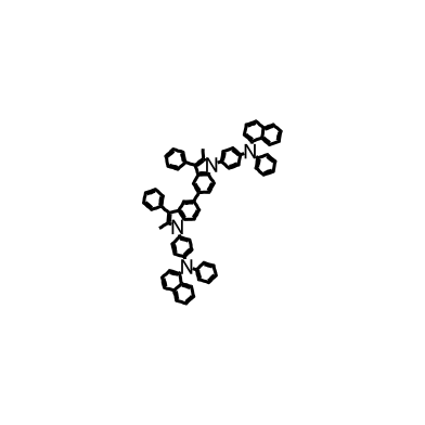 Cc1c(-c2ccccc2)c2cc(-c3ccc4c(c3)c(-c3ccccc3)c(C)n4-c3ccc(N(c4ccccc4)c4cccc5ccccc45)cc3)ccc2n1-c1ccc(N(c2ccccc2)c2cccc3ccccc23)cc1